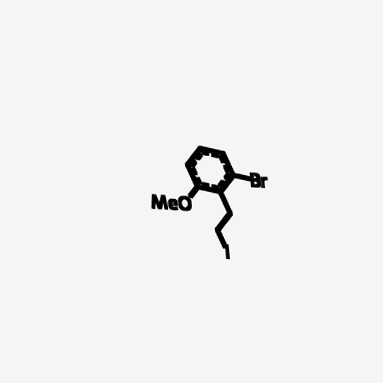 COc1cccc(Br)c1CCI